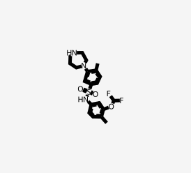 Cc1ccc(NS(=O)(=O)c2ccc(C)c(N3CCCNCC3)c2)cc1OC(F)F